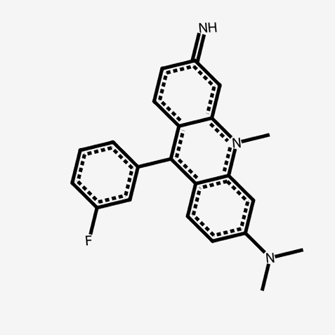 CN(C)c1ccc2c(-c3cccc(F)c3)c3ccc(=N)cc-3n(C)c2c1